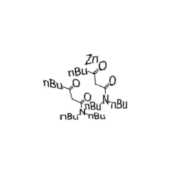 CCCCC(=O)CC(=O)N(CCCC)CCCC.CCCCC(=O)CC(=O)N(CCCC)CCCC.[Zn]